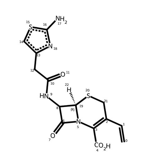 C=CC1=C(C(=O)O)N2C(=O)C(NC(=O)Cc3csc(N)n3)[C@H]2SC1